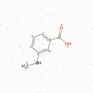 CBc1cccc(C(=O)O)c1